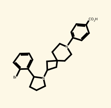 O=C(O)c1ccc(N2CCC3(CC2)CC(N2CCCC2c2ccccc2Br)C3)cc1